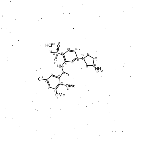 COc1cc(Cl)cc(C(C)Nc2cc(N3CCC(N)C3)ccc2S(C)(=O)=O)c1OC.Cl